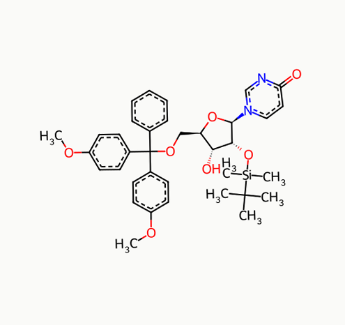 COc1ccc(C(OC[C@H]2O[C@@H](n3ccc(=O)nc3)[C@H](O[Si](C)(C)C(C)(C)C)[C@@H]2O)(c2ccccc2)c2ccc(OC)cc2)cc1